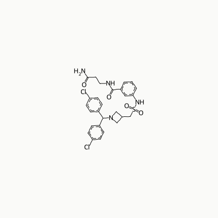 NC(=O)CCNC(=O)c1cccc(NS(=O)(=O)CC2CN(C(c3ccc(Cl)cc3)c3ccc(Cl)cc3)C2)c1